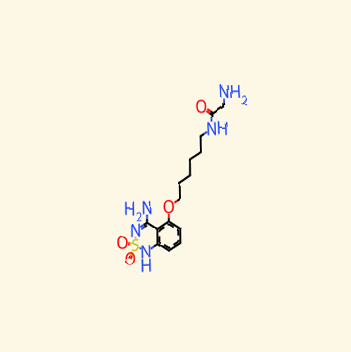 NCC(=O)NCCCCCCOc1cccc2c1C(N)=NS(=O)(=O)N2